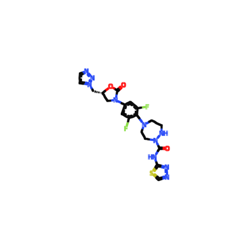 O=C(Nc1nncs1)N1CCN(c2c(F)cc(N3C[C@H](Cn4ccnn4)OC3=O)cc2F)CCN1